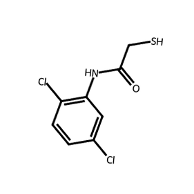 O=C(CS)Nc1cc(Cl)ccc1Cl